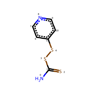 NC(=S)SSc1ccncc1